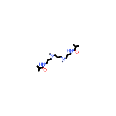 C=C(C)C(=O)NCCCN(C)CCCN(C)CCCNC(=O)C(=C)C